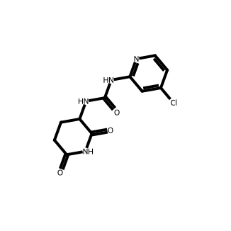 O=C1CCC(NC(=O)Nc2cc(Cl)ccn2)C(=O)N1